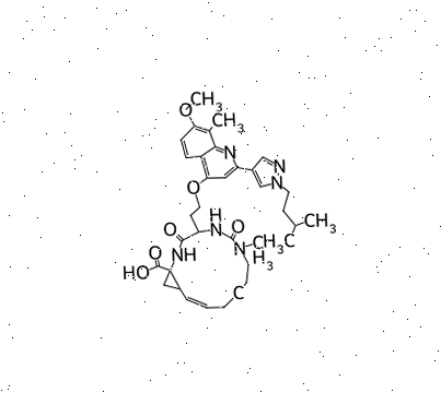 COc1ccc2c(OCCC3NC(=O)N(C)CCCC/C=C\C4CC4(C(=O)O)NC3=O)cc(-c3cnn(CCC(C)C)c3)nc2c1C